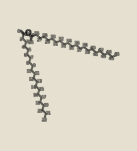 C=C(CCCCCCCCCCCCCCCCCCCCC)OC(=C)CCCCCCCCCCCCCCCCCCCCC